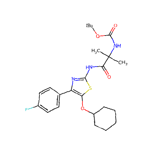 CC(C)(C)OC(=O)NC(C)(C)C(=O)Nc1nc(-c2ccc(F)cc2)c(OC2CCCCC2)s1